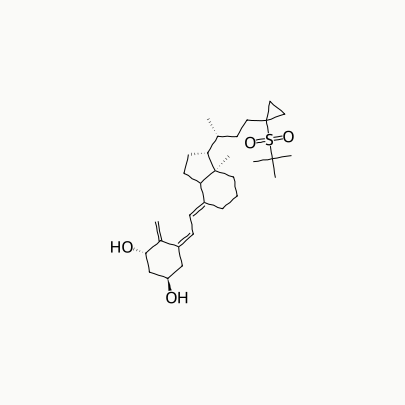 C=C1/C(=C\C=C2/CCC[C@@]3(C)C2CC[C@@H]3[C@H](C)CCC2(S(=O)(=O)C(C)(C)C)CC2)C[C@@H](O)C[C@@H]1O